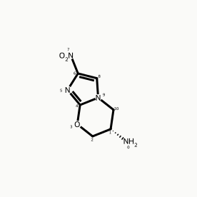 N[C@@H]1COc2nc([N+](=O)[O-])cn2C1